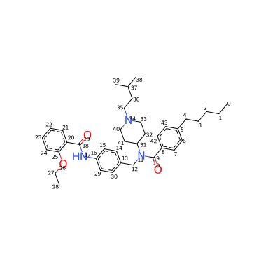 CCCCCc1ccc(C(=O)N(Cc2ccc(NC(=O)c3ccccc3OCC)cc2)C2CCN(CCC(C)C)CC2)cc1